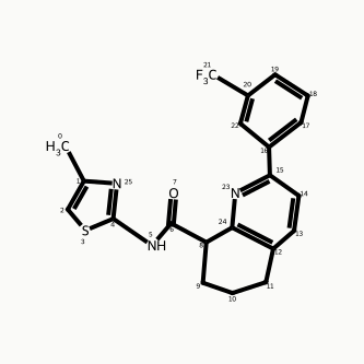 Cc1csc(NC(=O)C2CCCc3ccc(-c4cccc(C(F)(F)F)c4)nc32)n1